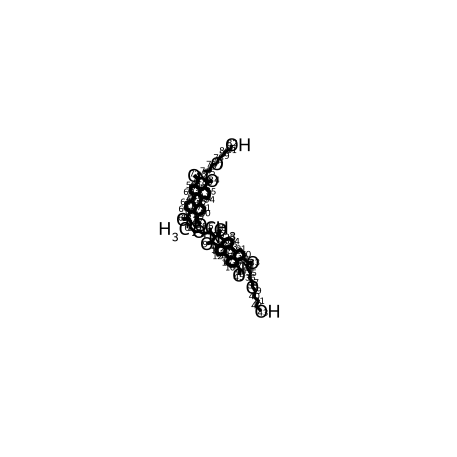 CC(COCC(C)N1C(=O)c2ccc3c4ccc5c6c(ccc(c7ccc(c2c37)C1=O)c64)C(=O)N(CCCOCCCCO)C5=O)N1C(=O)c2ccc3c4ccc5c6c(ccc(c7ccc(c2c37)C1=O)c64)C(=O)N(CCCOCCCCO)C5=O